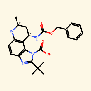 C[C@H]1C[C@@H](NC(=O)OCc2ccccc2)c2c(ccc3nc(C(C)(C)C)n(C(=O)O)c23)N1